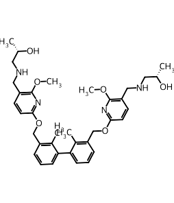 COc1nc(OCc2cccc(-c3cccc(COc4ccc(CNC[C@H](C)O)c(OC)n4)c3C)c2C)ccc1CNC[C@H](C)O